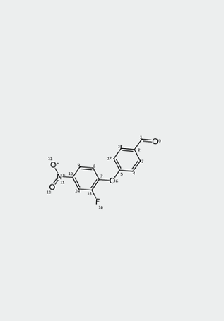 O=Cc1ccc(Oc2ccc([N+](=O)[O-])cc2F)cc1